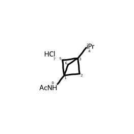 CC(=O)NC12CC(C(C)C)(C1)C2.Cl